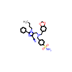 CCCCn1c(-c2ccccc2)nc(C#N)c1CN(Cc1ccc(S(N)(=O)=O)cc1)Cc1ccc2c(c1)OCO2